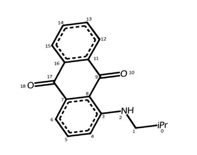 CC(C)CNc1cccc2c1C(=O)c1ccccc1C2=O